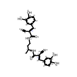 CC(CCNC(=O)/C(C#N)=C/c1ccc(O)c(O)c1)NC(=O)/C(C#N)=C/c1ccc(O)c(O)c1